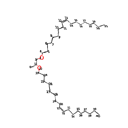 [CH2]C(COCCCCCCCC/C=C\CCCCCCCC)OCCCCCCCC/C=C\CCCCCCCC